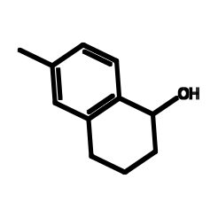 Cc1ccc2c(c1)CCCC2O